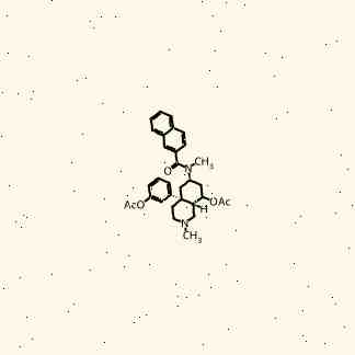 CC(=O)Oc1cccc([C@@]23CCN(C)C[C@H]2C(OC(C)=O)C[C@H](N(C)C(=O)c2ccc4ccccc4c2)C3)c1